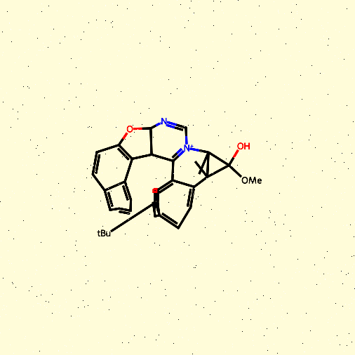 COC1(O)C2(C)c3ccc4cc(C(C)(C)C)ccc4c3C3=[N+](C=NC4Oc5ccc6ccccc6c5C34)C12C